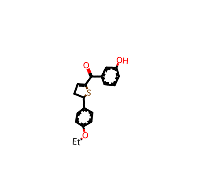 CCOc1ccc(C2CC=C(C(=O)c3cccc(O)c3)S2)cc1